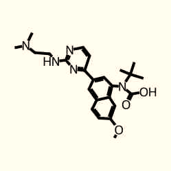 COc1ccc2cc(-c3ccnc(NCCN(C)C)n3)cc(N(C(=O)O)C(C)(C)C)c2c1